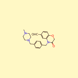 CN1CCN(Cc2ccc(CN3C(=O)COc4ccc(C=O)cc43)cc2)CC1